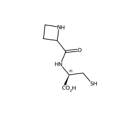 O=C(N[C@@H](CS)C(=O)O)C1CCN1